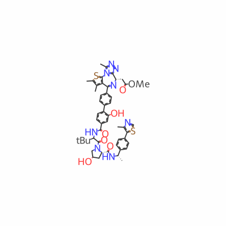 COC(=O)C[C@@H]1N=C(c2ccc(-c3ccc(C(=O)NC(C(=O)N4C[C@H](O)C[C@H]4C(=O)N[C@@H](C)c4ccc(-c5scnc5C)cc4)C(C)(C)C)cc3O)cc2)c2c(sc(C)c2C)-n2c(C)nnc21